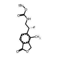 Cc1c([C@@H](F)CNC(=O)OC(C)(C)C)ccc2c1COC2=O